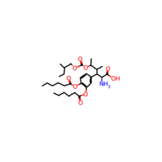 CCCCCC(=O)Oc1ccc(C(C(C)C(C)OC(=O)OCC(C)CC)[C@H](N)C(=O)O)cc1OC(=O)CCCCC